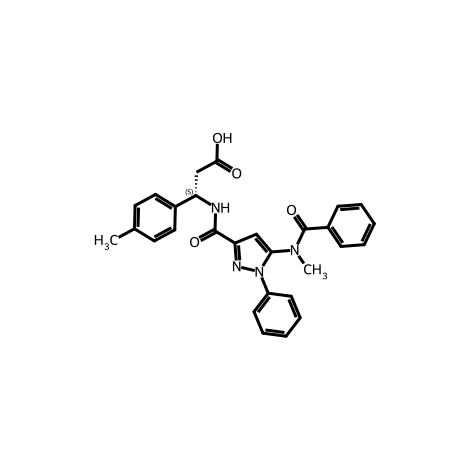 Cc1ccc([C@H](CC(=O)O)NC(=O)c2cc(N(C)C(=O)c3ccccc3)n(-c3ccccc3)n2)cc1